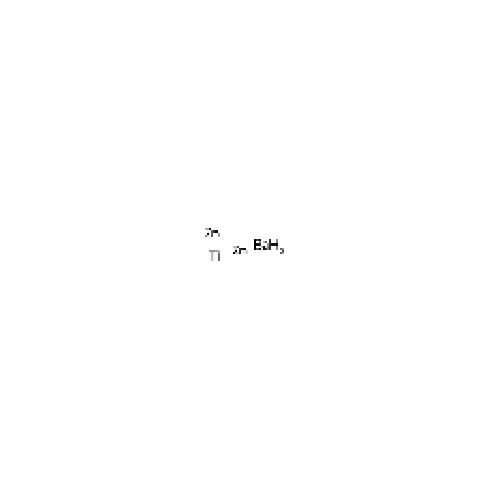 [BaH2].[Ti].[Zn].[Zn]